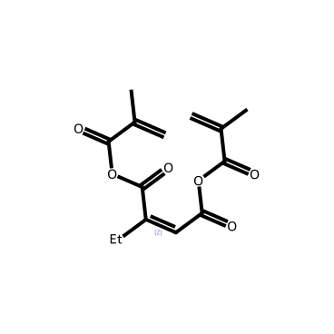 C=C(C)C(=O)OC(=O)/C=C(/CC)C(=O)OC(=O)C(=C)C